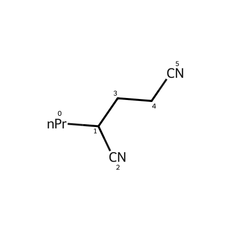 CCCC(C#N)CCC#N